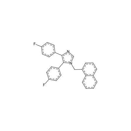 Fc1ccc(-c2ncn(Cc3cccc4ccccc34)c2-c2ccc(F)cc2)cc1